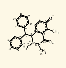 Cc1c2n(ccc1=O)C(C(c1ccccc1)c1ccccc1)N(C)N(C)C2=O